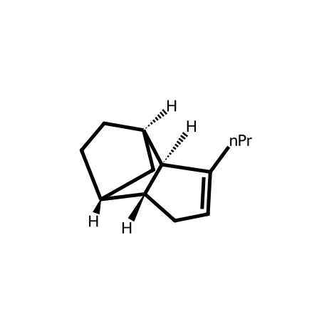 CCCC1=CC[C@@H]2[C@@H]3CC[C@H](C3)[C@@H]12